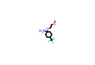 COCCOC1(N)CCC(C(F)(F)F)CC1